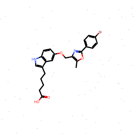 Cc1oc(-c2ccc(Br)cc2)nc1COc1ccc2[nH]cc(CCCCC(=O)O)c2c1